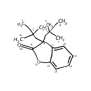 CC(C)(C)C1(C(C)(C)C)C(=O)Oc2ccccc21